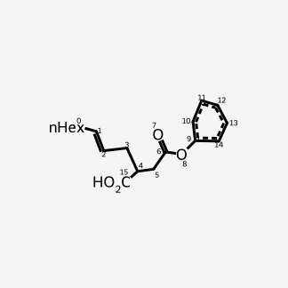 CCCCCC/C=C/CC(CC(=O)Oc1ccccc1)C(=O)O